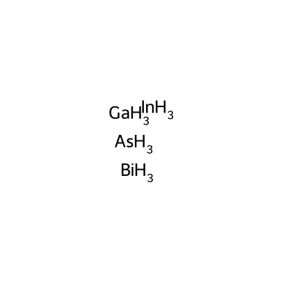 [AsH3].[BiH3].[GaH3].[InH3]